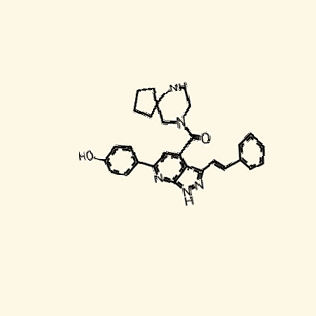 O=C(c1cc(-c2ccc(O)cc2)nc2[nH]nc(C=Cc3ccccc3)c12)N1CCNC2(CCCC2)C1